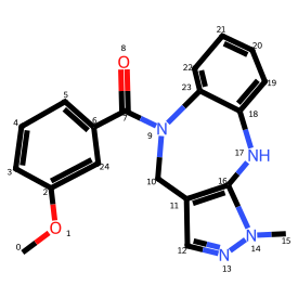 COc1cccc(C(=O)N2Cc3cnn(C)c3Nc3ccccc32)c1